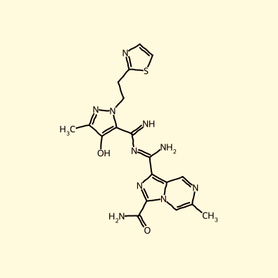 Cc1cn2c(C(N)=O)nc(/C(N)=N/C(=N)c3c(O)c(C)nn3CCc3nccs3)c2cn1